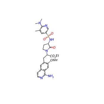 CCOC(=O)C(Cc1cc2ccnc(N)c2cc1OC)N1CCC(NS(=O)(=O)c2cnc(N(C)C)c(C)c2)C1=O